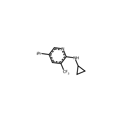 CC(C)c1cnc(NC2CC2)c(C(F)(F)F)c1